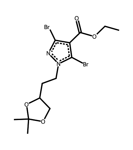 CCOC(=O)c1c(Br)nn(CCC2COC(C)(C)O2)c1Br